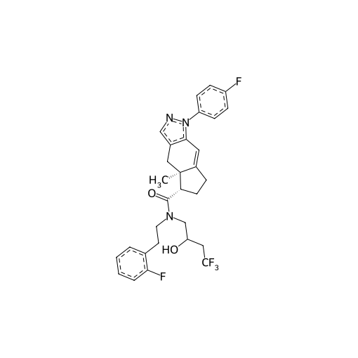 C[C@]12Cc3cnn(-c4ccc(F)cc4)c3C=C1CC[C@@H]2C(=O)N(CCc1ccccc1F)CC(O)CC(F)(F)F